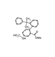 COC(=O)c1ccccc1-c1ccccc1C(C)(C)c1ccccc1.O=C(O)O